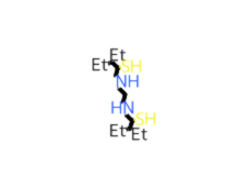 CCC(CC)C(S)CNCCCNCC(S)C(CC)CC